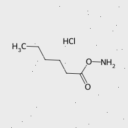 CCCCCC(=O)ON.Cl